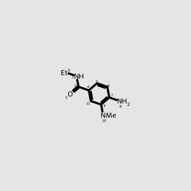 CCNC(=O)c1ccc(N)c(NC)c1